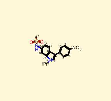 CC(C)n1cc(-c2ccc([N+](=O)[O-])cc2)c2ccc(NS(C)(=O)=O)cc21